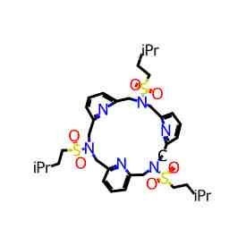 CC(C)CCS(=O)(=O)N1Cc2cccc(n2)CN(S(=O)(=O)CCC(C)C)Cc2cccc(n2)CN(S(=O)(=O)CCC(C)C)Cc2cccc(n2)C1